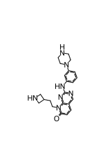 O=c1ccc2cnc(Nc3cccc(N4CCNCC4)c3)nc2n1CCC1CNC1